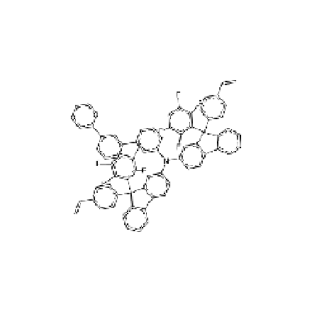 C=Cc1ccc(C2(c3c(F)c(F)cc(F)c3F)c3ccccc3-c3ccc(N(c4cccc(-c5cccc(-c6ccccc6)c5)c4)c4ccc5c(c4)C(c4ccc(C=C)cc4)(c4c(F)c(F)cc(F)c4F)c4ccccc4-5)cc32)cc1